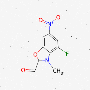 CN1c2c(F)cc([N+](=O)[O-])cc2OC1C=O